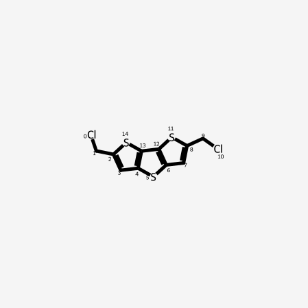 ClCc1cc2sc3cc(CCl)sc3c2s1